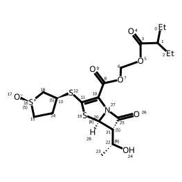 CCC(CC)C(=O)OCOC(=O)C1=C(S[C@H]2CC[S@@+]([O-])C2)S[C@@H]2[C@@H]([C@@H](C)O)C(=O)N12